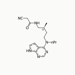 CCCN(CC[C@H](C)CNC(=O)CC#N)c1ncnc2[nH]ccc12